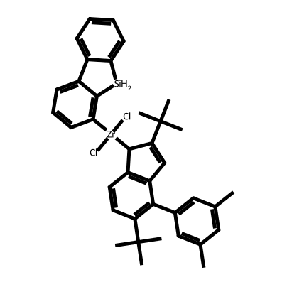 Cc1cc(C)cc(-c2c(C(C)(C)C)ccc3c2C=C(C(C)(C)C)[CH]3[Zr]([Cl])([Cl])[c]2cccc3c2[SiH2]c2ccccc2-3)c1